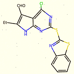 CCc1[nH]c2nc(Sc3nc4ccccc4s3)nc(Cl)c2c1C=O